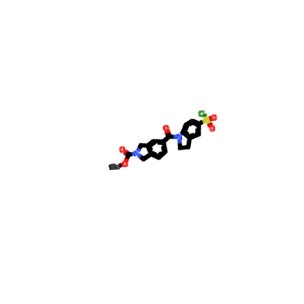 CC(C)(C)OC(=O)N1Cc2ccc(C(=O)N3CCc4cc(S(=O)(=O)Cl)ccc43)cc2C1